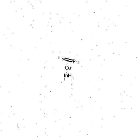 [Cu].[InH3].[P]=S